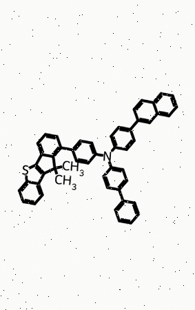 CC1(C)c2c(-c3ccc(N(c4ccc(-c5ccccc5)cc4)c4ccc(-c5ccc6ccccc6c5)cc4)cc3)cccc2-c2sc3ccccc3c21